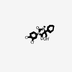 CN1C(=O)N(c2ccc(Cl)c(Cl)c2)C(=O)C1(CO)C1=CC[CH]C=C1